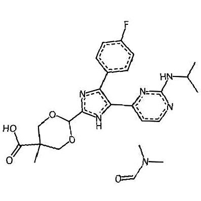 CC(C)Nc1nccc(-c2[nH]c(C3OCC(C)(C(=O)O)CO3)nc2-c2ccc(F)cc2)n1.CN(C)C=O